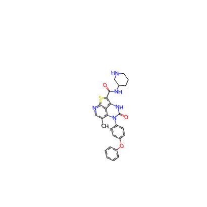 Cc1cnc2sc(C(=O)NC3CCCNC3)c3c2c1N(c1ccc(Oc2ccccc2)cc1)C(=O)N3